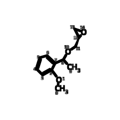 COc1ccccc1C(C)OC[C@H]1CO1